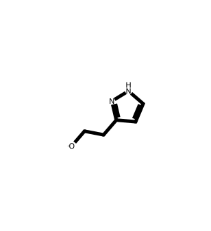 [O]CCc1cc[nH]n1